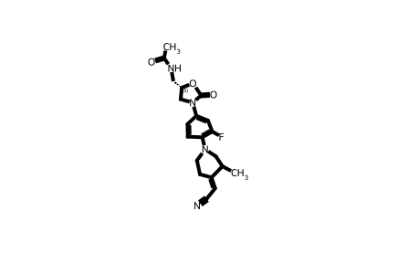 CC(=O)NC[C@H]1CN(c2ccc(N3CCC(=CC#N)C(C)C3)c(F)c2)C(=O)O1